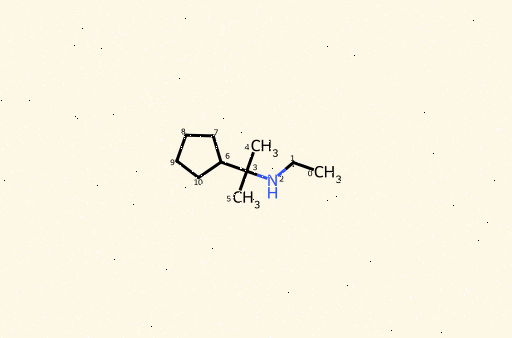 C[CH]NC(C)(C)C1CCCC1